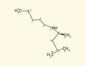 CSCCCN[C@@H](C)CC(C)C